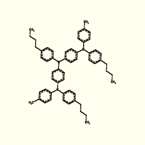 CCCCc1ccc(N(c2ccc(C)cc2)c2ccc(N(c3ccc(CCCC)cc3)c3ccc(N(c4ccc(C)cc4)c4ccc(CCCC)cc4)cc3)cc2)cc1